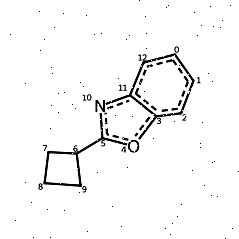 c1ccc2oc(C3CCC3)nc2c1